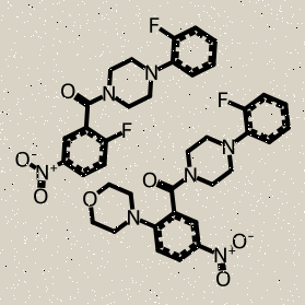 O=C(c1cc([N+](=O)[O-])ccc1F)N1CCN(c2ccccc2F)CC1.O=C(c1cc([N+](=O)[O-])ccc1N1CCOCC1)N1CCN(c2ccccc2F)CC1